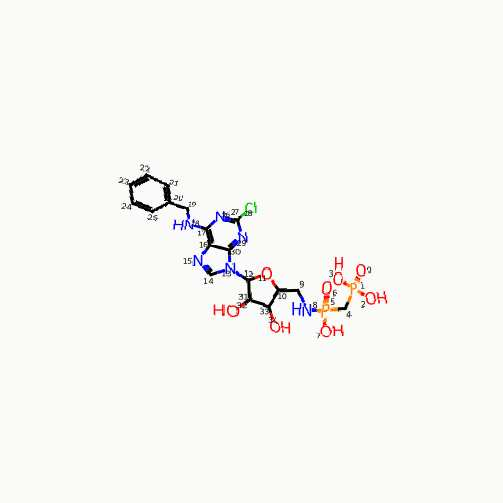 O=P(O)(O)CP(=O)(O)NCC1OC(n2cnc3c(NCc4ccccc4)nc(Cl)nc32)C(O)C1O